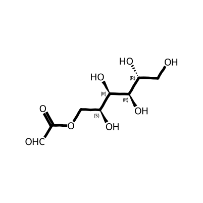 O=CC(=O)OC[C@H](O)[C@@H](O)[C@H](O)[C@H](O)CO